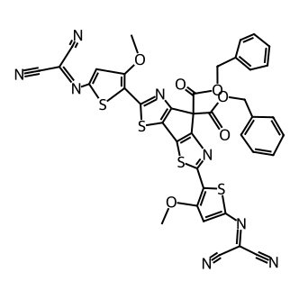 COc1cc(N=C(C#N)C#N)sc1-c1nc2c(s1)-c1sc(-c3sc(N=C(C#N)C#N)cc3OC)nc1C2(C(=O)OCc1ccccc1)C(=O)OCc1ccccc1